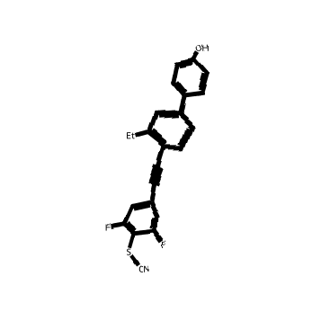 CCc1cc(-c2ccc(O)cc2)ccc1C#Cc1cc(F)c(SC#N)c(F)c1